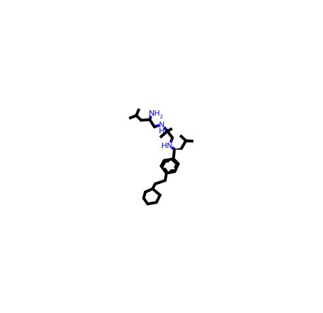 CC(C)CC(N)CNC(C)(C)CN[C@@H](CC(C)C)c1ccc(CCC2CCCCC2)cc1